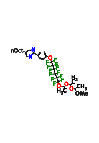 CCCCCCCCc1cnc(-c2ccc(OC(F)(F)C(F)(F)C(F)(F)C(F)(F)C(F)(F)C(F)(F)OC(C)OC(C)OC(C)OC)cc2)nc1